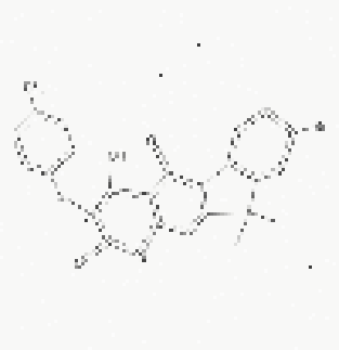 CC1(C)c2cc(Br)ccc2-n2c1cc1oc(=O)c(Sc3ccc(C(F)(F)F)cc3)c(O)c1c2=O